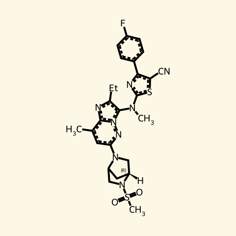 CCc1nc2c(C)cc(N3C[C@H]4CC3CN4S(C)(=O)=O)nn2c1N(C)c1nc(-c2ccc(F)cc2)c(C#N)s1